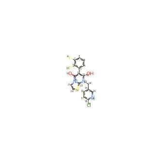 O=c1c(-c2cccc(F)c2F)c(O)n(Cc2ccc(Cl)nc2)c2scc[n+]12